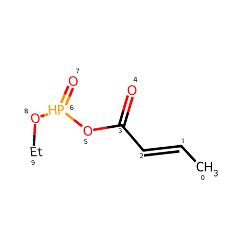 CC=CC(=O)O[PH](=O)OCC